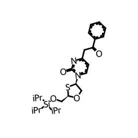 CC(C)[Si](OC[C@@H]1OC[C@H](n2ccc(CC(=O)c3ccccc3)nc2=O)S1)(C(C)C)C(C)C